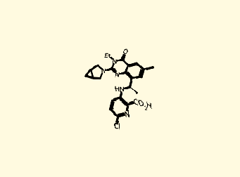 CCn1c(N2CC3CC3C2)nc2c([C@@H](C)Nc3ccc(Cl)nc3C(=O)O)cc(C)cc2c1=O